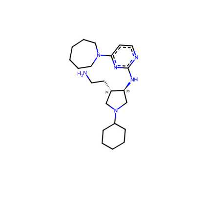 NCC[C@H]1CN(C2CCCCC2)C[C@@H]1Nc1nccc(N2CCCCCC2)n1